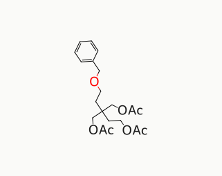 CC(=O)OCCC(CCOCc1ccccc1)(COC(C)=O)COC(C)=O